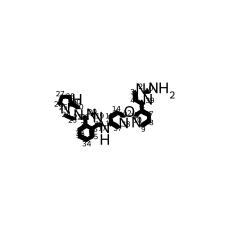 Nc1nccc(-c2cccnc2Oc2ccc(Nc3nnc(N4CCN5CCC[C@H]5C4)c4ccccc34)cn2)n1